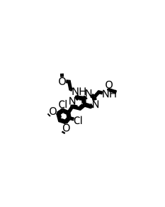 COCCNc1nc(-c2c(Cl)c(OC)cc(OC)c2Cl)cc2cnc(CNC(C)=O)nc12